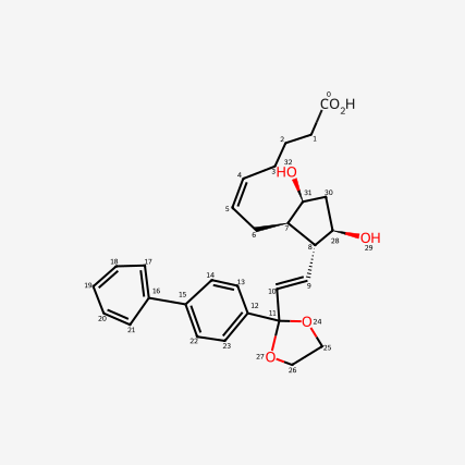 O=C(O)CCC/C=C\C[C@@H]1[C@@H](/C=C/C2(c3ccc(-c4ccccc4)cc3)OCCO2)[C@H](O)C[C@@H]1O